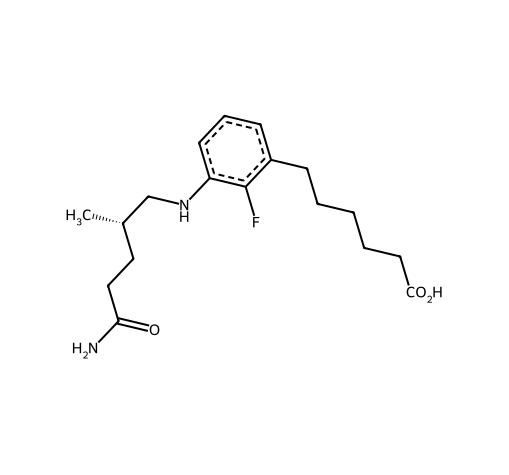 C[C@@H](CCC(N)=O)CNc1cccc(CCCCCC(=O)O)c1F